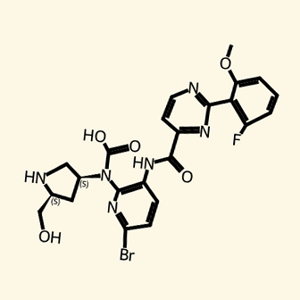 COc1cccc(F)c1-c1nccc(C(=O)Nc2ccc(Br)nc2N(C(=O)O)[C@@H]2CN[C@H](CO)C2)n1